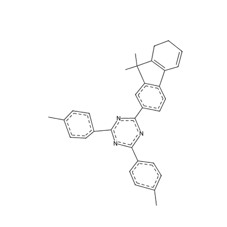 Cc1ccc(-c2nc(-c3ccc(C)cc3)nc(-c3ccc4c(c3)C(C)(C)C3=C4C=CCC3)n2)cc1